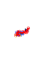 COc1ccc(C2=CN3C(=O)c4cc(OC)c(OCCCOc5cc6c(cc5OC)C(=O)N5C=C(c7ccc(NC(=O)[C@H](C)NC(=O)[C@@H](NC(=O)c8cc(NC(=O)CCSC)nc(NC(O)CCSC)c8)C(C)C)cc7)C[C@H]5C=N6)cc4N=C[C@@H]3C2)cc1